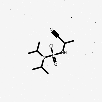 CC(C#N)NP(=O)(Cl)N(C(C)C)C(C)C